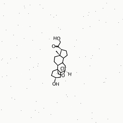 C[C@]12CCC3C(C[C@H]4OC[C@@]35CC[C@H](O)C[C@]45Cl)C1CC[C@@H]2C(=O)CO